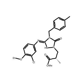 CCOc1ccc(/N=c2\[nH]n(C[C@H](C)C(=O)OC)c(=O)n2Cc2ccc(C)cc2)cc1Cl